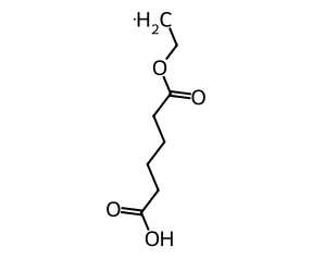 [CH2]COC(=O)CCCCC(=O)O